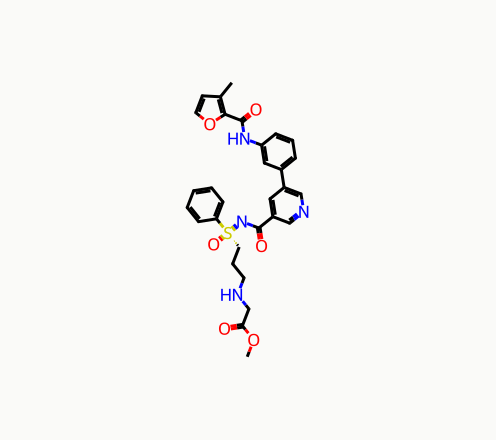 COC(=O)CNCCC[S@@](=O)(=NC(=O)c1cncc(-c2cccc(NC(=O)c3occc3C)c2)c1)c1ccccc1